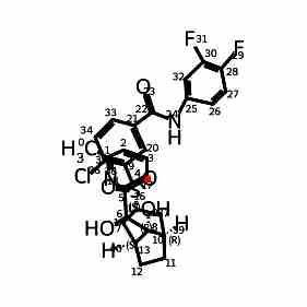 Cc1cccc(C(O)[C@@]2(O)[C@@H]3CC[C@H]2C[C@H](S(=O)(=O)c2cc(C(=O)Nc4ccc(F)c(F)c4)ccc2Cl)C3)n1